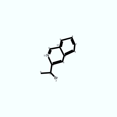 CC(Br)c1cc2ccccc2cn1